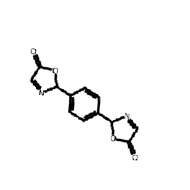 O=C1C=NC(c2ccc(C3N=CC(=O)O3)cc2)O1